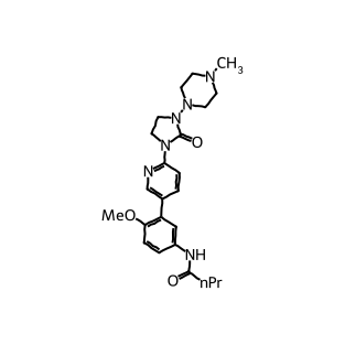 CCCC(=O)Nc1ccc(OC)c(-c2ccc(N3CCN(N4CCN(C)CC4)C3=O)nc2)c1